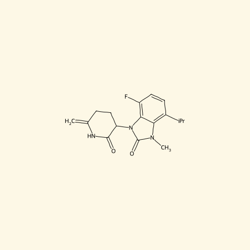 C=C1CCC(n2c(=O)n(C)c3c(C(C)C)ccc(F)c32)C(=O)N1